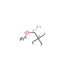 CC(C)O[C@H](C)C(C)(C)C